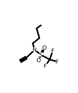 C#CN(CCCC)S(=O)(=O)C(F)(F)F